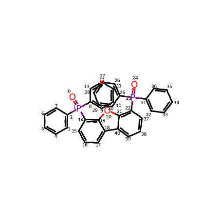 O=P(c1ccccc1)(c1ccccc1)c1cccc2c1oc1c(P(=O)(c3ccccc3)c3ccccc3)cccc12